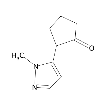 Cn1nccc1C1CCCC1=O